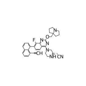 C#Cc1cccc2cccc(-c3ccc4c(N5CCN[C@@H](CC#N)C5)nc(OCC56CCCN5CCC6)nc4c3F)c12